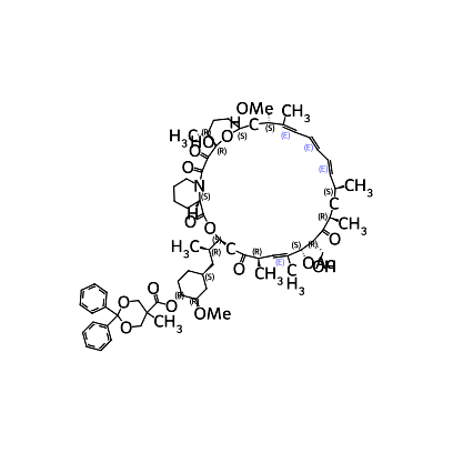 CO[C@H]1C[C@@H]2CC[C@@H](C)[C@@](O)(O2)C(=O)C(=O)N2CCCC[C@H]2C(=O)O[C@H]([C@H](C)C[C@@H]2CC[C@@H](OC(=O)C3(C)COC(c4ccccc4)(c4ccccc4)OC3)[C@H](OC)C2)CC(=O)[C@H](C)/C=C(\C)[C@@H](OC(C)=O)[C@@H](CO)C(=O)[C@H](C)C[C@H](C)/C=C/C=C/C=C/1C